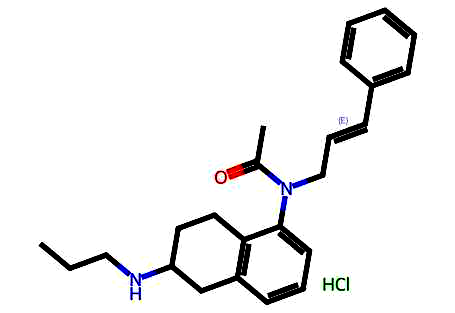 CCCNC1CCc2c(cccc2N(C/C=C/c2ccccc2)C(C)=O)C1.Cl